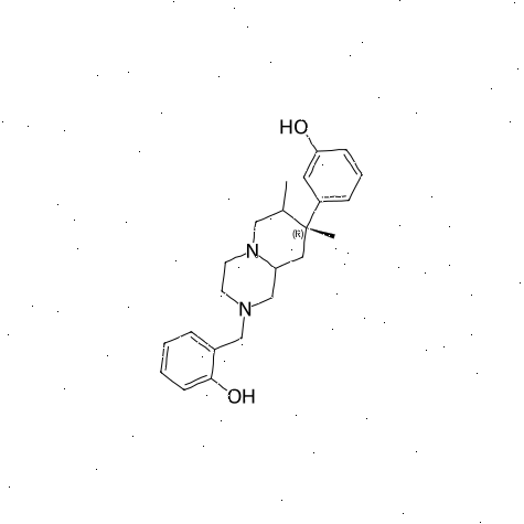 CC1CN2CCN(Cc3ccccc3O)CC2C[C@@]1(C)c1cccc(O)c1